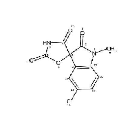 CN1C(=O)C2(OC(=O)NC2=O)c2cc(Cl)ccc21